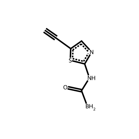 BC(=O)Nc1ncc(C#C)s1